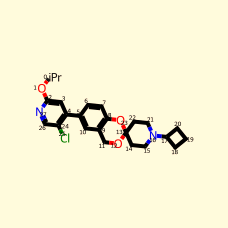 CC(C)Oc1cc(-c2ccc3c(c2)COC2(CCN(C4CCC4)CC2)O3)c(Cl)cn1